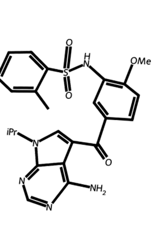 COc1ccc(C(=O)c2cn(C(C)C)c3ncnc(N)c23)cc1NS(=O)(=O)c1ccccc1C